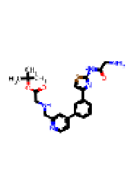 CC(C)(C)OC(=O)CNCc1cc(-c2cccc(-c3csc(NC(=O)CN)n3)c2)ccn1